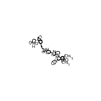 Cc1cc2c(N3CCCc4nc(-c5ccc(C(=O)NCC#Cc6ccc7occ([C@H]8CCC(=O)NC8=O)c7c6)nc5)ncc43)nc(N3CCOCC3)cc2n(C)c1=O